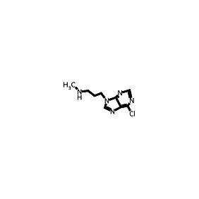 CNCCCn1cnc2c(Cl)ncnc21